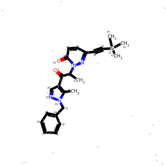 Cc1c(C(=O)C(C)n2nc(C#C[Si](C)(C)C)ccc2=O)cnn1Cc1ccccc1